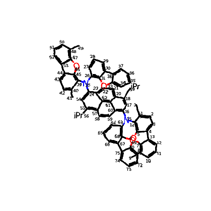 Cc1ccc2c(oc3c(C)cccc32)c1N(c1cc(C(C)C)c2ccc3c(N(c4cccc5c4oc4ccccc45)c4c(C)ccc5c4oc4c(C)cccc45)cc(C(C)C)c4ccc1c2c43)c1cccc2c1oc1ccccc12